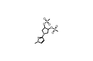 Cn1ccc(N2CC(OS(C)(=O)=O)C(OS(C)(=O)=O)C2)n1